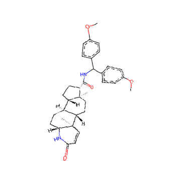 COc1ccc(C(NC(=O)[C@H]2CC[C@H]3[C@@H]4CC[C@H]5NC(=O)C=C[C@]5(C)[C@H]4CC[C@]23C)c2ccc(OC)cc2)cc1